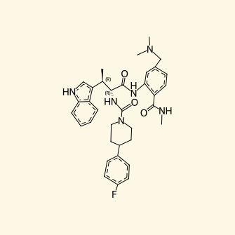 CNC(=O)c1ccc(CN(C)C)cc1NC(=O)[C@H](NC(=O)N1CCC(c2ccc(F)cc2)CC1)[C@H](C)c1c[nH]c2ccccc12